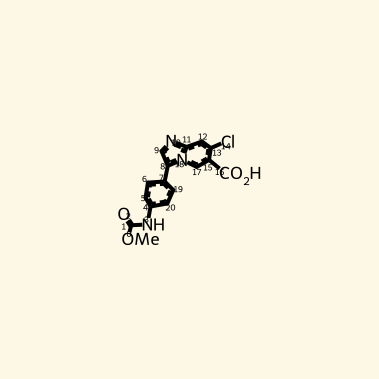 COC(=O)Nc1ccc(-c2cnc3cc(Cl)c(C(=O)O)cn23)cc1